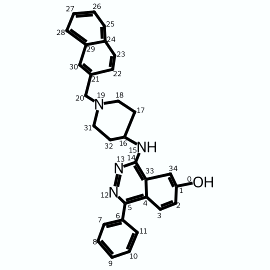 Oc1ccc2c(-c3ccccc3)nnc(NC3CCN(Cc4ccc5ccccc5c4)CC3)c2c1